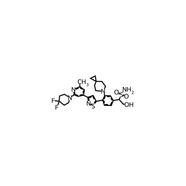 Cc1cc(-c2cc(-c3ccc(C(CO)S(N)(=O)=O)cc3N3CCC4(CC3)CC4)sn2)cc(N2CCC(F)(F)CC2)n1